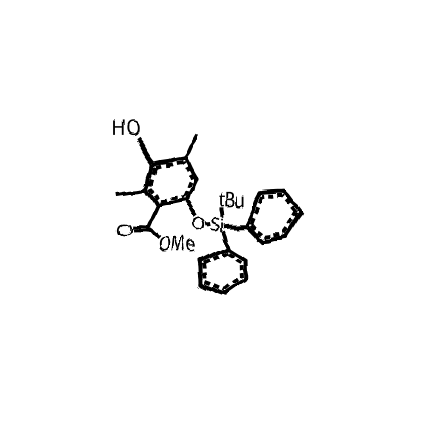 COC(=O)c1c(O[Si](c2ccccc2)(c2ccccc2)C(C)(C)C)cc(C)c(O)c1C